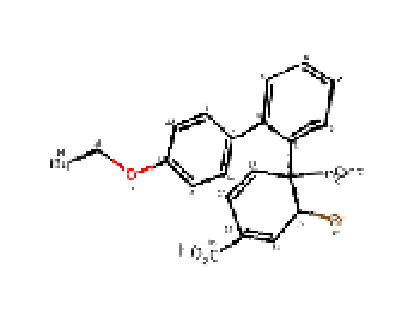 CCCCCCCCC1(c2ccccc2-c2ccc(OCC(C)CC)cc2)C=CC(C(=O)O)=CC1Br